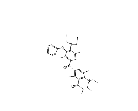 CCC(=O)c1c(C)c(C(=O)c2cc(C)c(N(CC)CC)c(Oc3ccccc3)c2C)cc(C)c1N(CC)CC